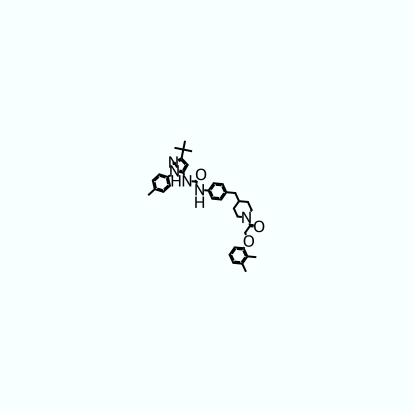 Cc1ccc(-n2nc(C(C)(C)C)cc2NC(=O)Nc2ccc(CC3CCN(C(=O)COc4cccc(C)c4C)CC3)cc2)cc1